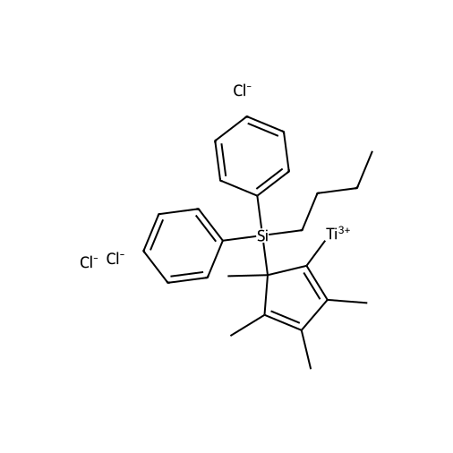 CCCC[Si](c1ccccc1)(c1ccccc1)C1(C)C(C)=C(C)C(C)=[C]1[Ti+3].[Cl-].[Cl-].[Cl-]